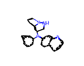 C1=CN2NCC(N(c3ccccc3)c3ccc4cccnc4c3)=C2C1